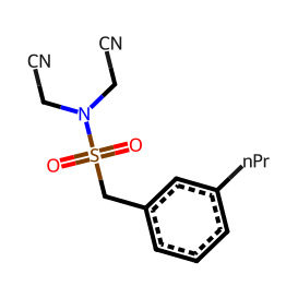 CCCc1cccc(CS(=O)(=O)N(CC#N)CC#N)c1